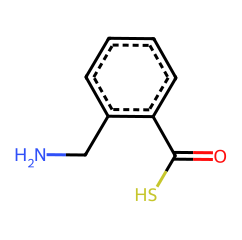 NCc1ccccc1C(=O)S